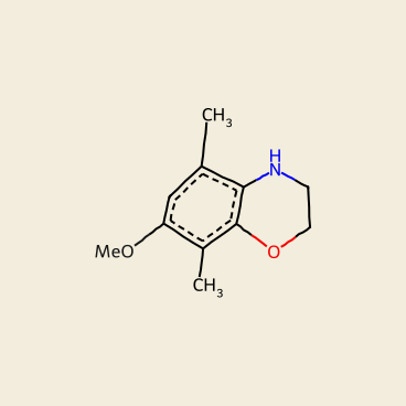 COc1cc(C)c2c(c1C)OCCN2